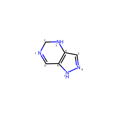 C1=NCNc2cn[nH]c21